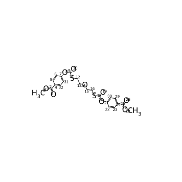 COC(=O)c1ccc(OC(=O)SCCOCCSC(=O)Oc2ccc(C(=O)OC)cc2)cc1